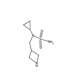 NS(=O)(=O)N(CC1CNC1)C1CC1